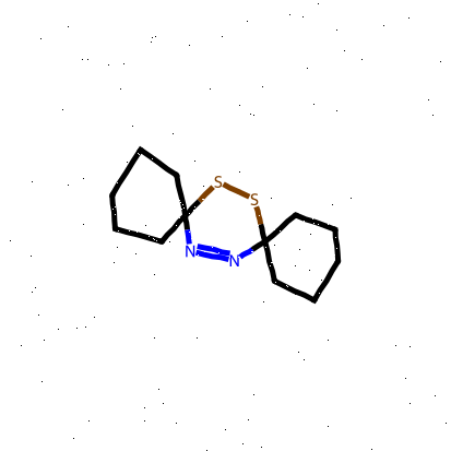 C1CCC2(CC1)N=NC1(CCCCC1)SS2